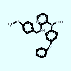 O=CN(c1ccc(Oc2ccccc2)cc1)c1cccnc1NCc1ccc(OC(F)(F)F)cc1